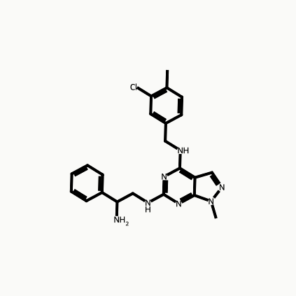 Cc1ccc(CNc2nc(NCC(N)c3ccccc3)nc3c2cnn3C)cc1Cl